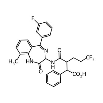 Cc1cccc2c1NC(=O)C(NC(=O)C(CCC(F)(F)F)C(C(=O)O)c1ccccc1)N=C2c1cccc(F)c1